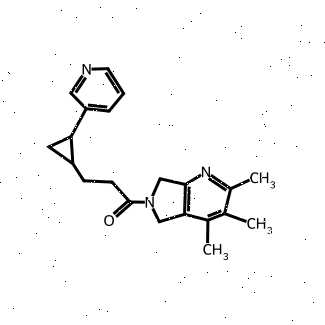 Cc1nc2c(c(C)c1C)CN(C(=O)CCC1CC1c1cccnc1)C2